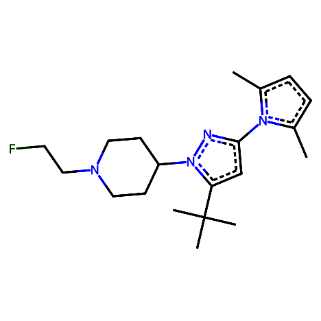 Cc1ccc(C)n1-c1cc(C(C)(C)C)n(C2CCN(CCF)CC2)n1